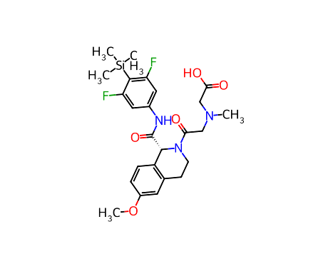 COc1ccc2c(c1)CCN(C(=O)CN(C)CC(=O)O)[C@H]2C(=O)Nc1cc(F)c([Si](C)(C)C)c(F)c1